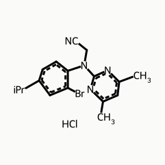 Cc1cc(C)nc(N(CC#N)c2ccc(C(C)C)cc2Br)n1.Cl